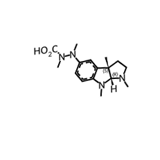 CN1CC[C@@]2(C)c3cc(N(C)N(C)C(=O)O)ccc3N(C)[C@@H]12